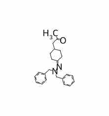 CC(=O)CC1CCC(=NN(Cc2ccccc2)Cc2ccccc2)CC1